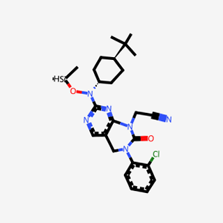 C[SiH](C)ON(c1ncc2c(n1)N(CC#N)C(=O)N(c1ccccc1Cl)C2)[C@H]1CC[C@H](C(C)(C)C)CC1